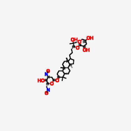 CC(C)(O)[C@@H](CCCC1CC[C@@]2(C)C3CC=C4C(CC[C@H](O[C@H]5C[C@@H](N=O)[C@H](O)[C@@H](CN=O)O5)C4(C)C)[C@]3(C)CC[C@]12C)O[C@@H]1OC[C@@H](O)C[C@H]1O